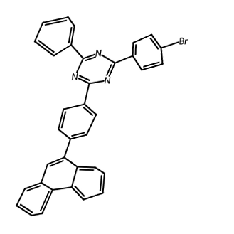 Brc1ccc(-c2nc(-c3ccccc3)nc(-c3ccc(-c4cc5ccccc5c5ccccc45)cc3)n2)cc1